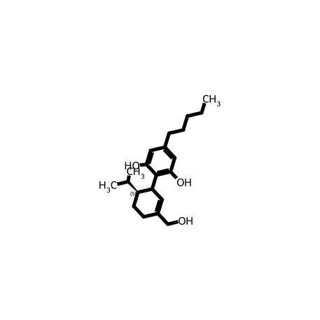 CCCCCc1cc(O)c(C2C=C(CO)CC[C@H]2C(C)C)c(O)c1